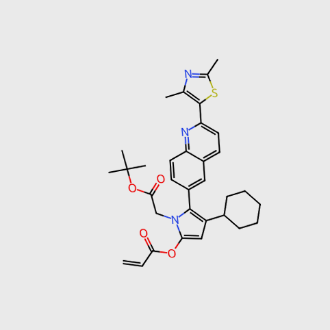 C=CC(=O)Oc1cc(C2CCCCC2)c(-c2ccc3nc(-c4sc(C)nc4C)ccc3c2)n1CC(=O)OC(C)(C)C